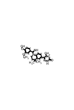 COc1ccc(C(=N)N2CCC(C)(C)c3cc(C4=NNC(=O)SC4C)ccc32)cc1OC